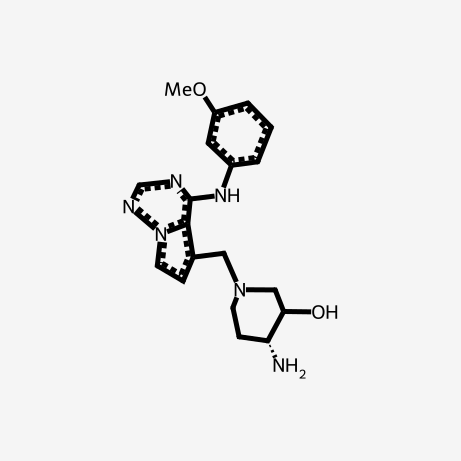 COc1cccc(Nc2ncnn3ccc(CN4CC[C@@H](N)C(O)C4)c23)c1